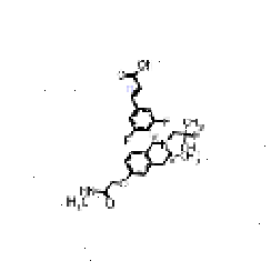 CNC(=O)COc1ccc2c(c1)C[C@H](C)N(CC(C)(C)F)[C@H]2c1c(F)cc(/C=C/C(=O)O)cc1F